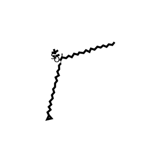 CCCCCCCCCCCCCCCCCC[C@H](C)[C@H](CCCCCCCCCCCCCCCCCCC1CC1)O[Si](C)(C)C(C)(C)C